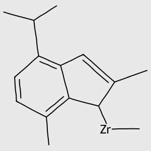 [CH3][Zr][CH]1C(C)=Cc2c(C(C)C)ccc(C)c21